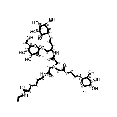 CCNC(=O)CCCCCNC(=O)CN(CC(=O)NCCO[C@@H]1O[C@@H](C)[C@@H](O)[C@@H](O)[C@@H]1O)CC(=O)NC(CCO[C@H]1C[C@H](CO)[C@@H](O)[C@H](O)[C@@H]1O)CO[C@H]1O[C@H](CO)[C@@H](O)[C@H](O)[C@@H]1O